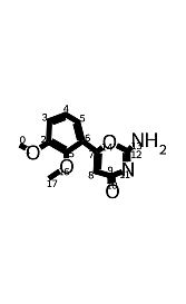 COc1cccc(-c2cc(=O)nc(N)o2)c1OC